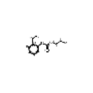 CCCOC(=O)Oc1ccccc1CC